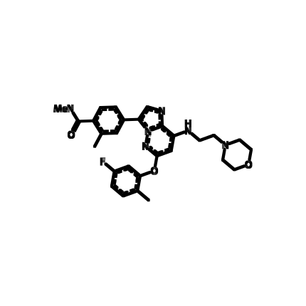 CNC(=O)c1ccc(-c2cnc3c(NCCN4CCOCC4)cc(Oc4cc(F)ccc4C)nn23)cc1C